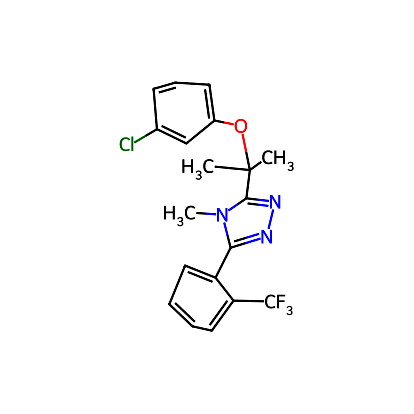 Cn1c(-c2ccccc2C(F)(F)F)nnc1C(C)(C)Oc1cccc(Cl)c1